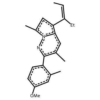 C/C=C(/CC)c1cc(C)n2nc(-c3ccc(OC)cc3C)c(C)cc12